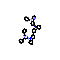 c1ccc(-c2cc(-n3c4ccccc4c4ccc(-c5ccc6c(c5)c5ccccc5n6-c5ccc6c(c5)c5ncccc5n6-c5ccccc5)cc43)nc(-c3ccccc3)n2)cc1